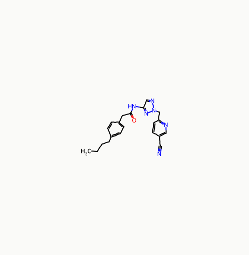 CCCCc1ccc(CC(=O)Nc2cnn(Cc3ccc(C#N)cn3)n2)cc1